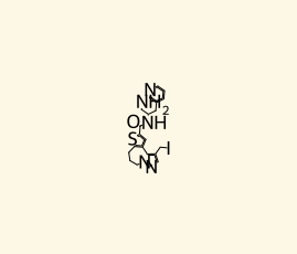 NCC(Cc1cccnc1)NC(=O)c1cc2c(s1)CCCn1ncc(CI)c1-2